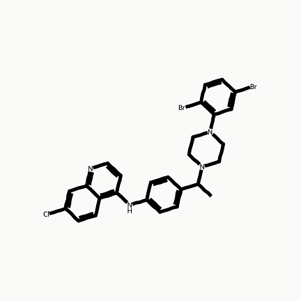 CC(c1ccc(Nc2ccnc3cc(Cl)ccc23)cc1)N1CCN(c2cc(Br)ccc2Br)CC1